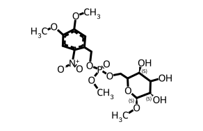 COc1cc(COP(=O)(OC)OCC2O[C@H](OC)[C@@H](O)C(O)[C@@H]2O)c([N+](=O)[O-])cc1OC